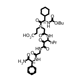 CCCC(NC(=O)CN(CCC(=O)O)C(=O)[C@@H](NC(=O)OCC(C)C)C1CCCCC1)C(=O)C(=O)NCC(=O)N[C@H](C(N)=O)c1ccccc1